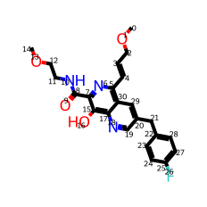 COC/C=C/c1nc(C(=O)NCCOC)c(O)c2ncc(Cc3ccc(F)cc3)cc12